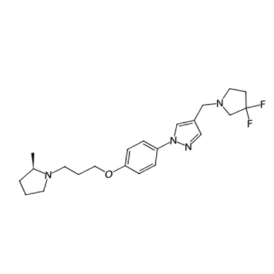 C[C@@H]1CCCN1CCCOc1ccc(-n2cc(CN3CCC(F)(F)C3)cn2)cc1